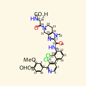 COc1cc(-c2nccc(-c3cccc(NC(=O)c4nc5c(n4C)CCN(C(=O)CNC(=O)O)C5)c3Cl)c2Cl)ccc1C=O